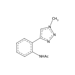 CC(=O)Nc1ccccc1-c1cn(C)nn1